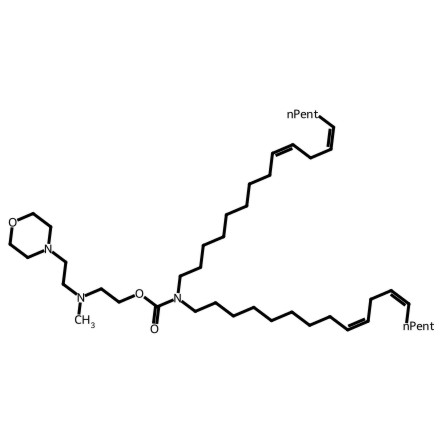 CCCCC/C=C\C/C=C\CCCCCCCCN(CCCCCCCC/C=C\C/C=C\CCCCC)C(=O)OCCN(C)CCN1CCOCC1